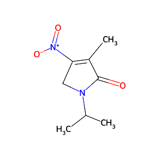 CC1=C([N+](=O)[O-])CN(C(C)C)C1=O